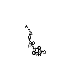 COCC(C)(C)n1nnc2c1-c1ccccc1CN(CCNC(=O)OCCC(C)(C)OCC(C)(C)SSCCCC(C)C)c1ccccc1-2